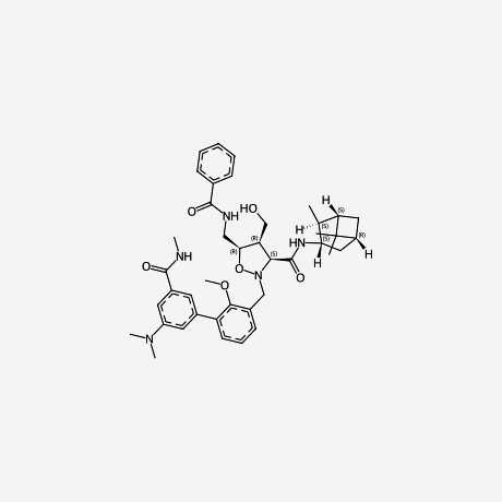 CNC(=O)c1cc(-c2cccc(CN3O[C@@H](CNC(=O)c4ccccc4)[C@@H](CO)[C@H]3C(=O)N[C@H]3C[C@H]4C[C@@H]([C@@H]3C)C4(C)C)c2OC)cc(N(C)C)c1